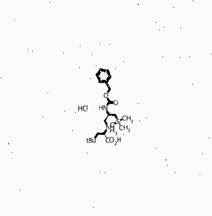 CC(C)(C)C[C@H](NC[C@H](C[Si](C)(C)C)NC(=O)OCc1ccccc1)C(=O)O.Cl